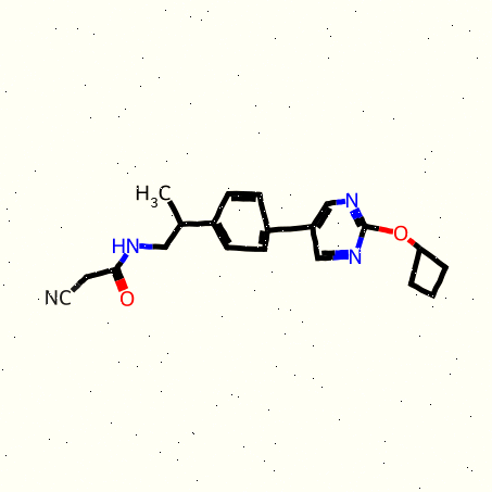 CC(CNC(=O)CC#N)c1ccc(-c2cnc(OC3CCC3)nc2)cc1